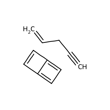 C#CCC=C.c1cc2ccc1-2